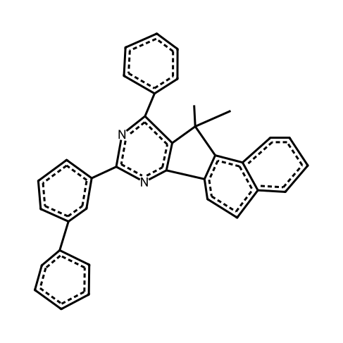 CC1(C)c2c(-c3ccccc3)nc(-c3cccc(-c4ccccc4)c3)nc2-c2ccc3ccccc3c21